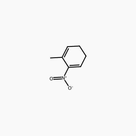 CC1=CCCC=C1[N+](=O)[O-]